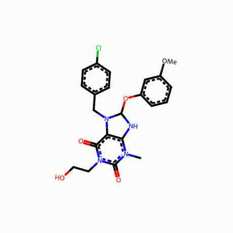 COc1cccc(OC2Nc3c(c(=O)n(CCO)c(=O)n3C)N2Cc2ccc(Cl)cc2)c1